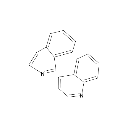 c1ccc2cnccc2c1.c1ccc2ncccc2c1